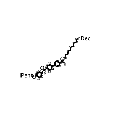 CCCCCCCCCCCCCCCCCCCCOC(C)c1ccc(-c2ccc(C(=O)Oc3ccc(OC(C)CCC)cc3)cc2)cc1